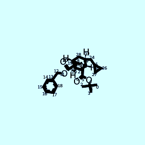 CC(C)(C)OC(=O)N1[C@H](C(=O)OCc2ccccc2)[C@@H]2CC[C@H]1[C@H](CC1CC1)C2